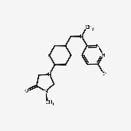 CN1CN(C2CCC(CN(C)c3ccc(Br)nn3)CC2)CC1=O